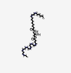 CC/C=C\C/C=C\C/C=C\C/C=C\C/C=C\C/C=C\CCC(=O)OCC(O)CNC(=O)CCCCCCC/C=C\C/C=C\CCCCC